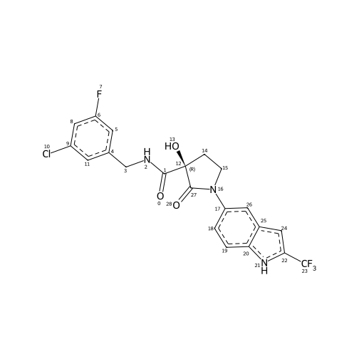 O=C(NCc1cc(F)cc(Cl)c1)[C@]1(O)CCN(c2ccc3[nH]c(C(F)(F)F)cc3c2)C1=O